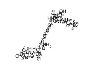 CO[C@@H](C)c1c(NC(=O)Nc2cc(Cl)cnc2OCCC(COCCOCCOCCOCCC(=O)N[C@H](C(=O)N2C[C@H](O)CC2C(=O)NCc2ccc(-c3scnc3C)cc2)C(C)(C)C)C(N)=O)cnc2cc(Cl)nn12